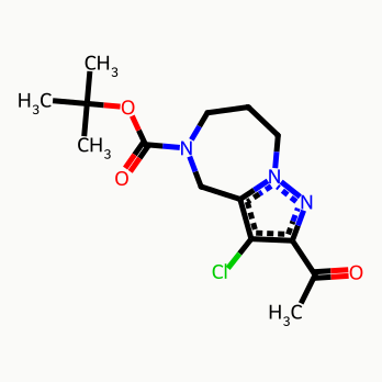 CC(=O)c1nn2c(c1Cl)CN(C(=O)OC(C)(C)C)CCC2